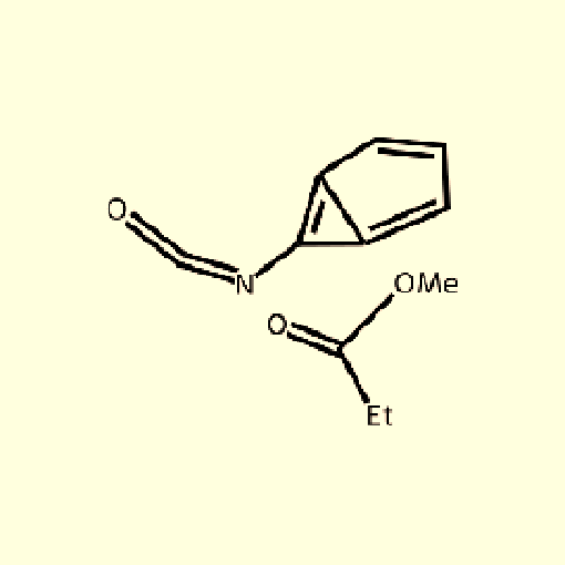 CCC(=O)OC.O=C=Nc1c2cccc1-2